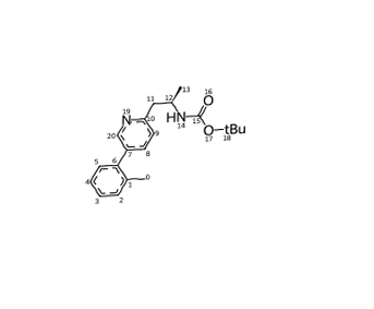 Cc1ccccc1-c1ccc(C[C@@H](C)NC(=O)OC(C)(C)C)nc1